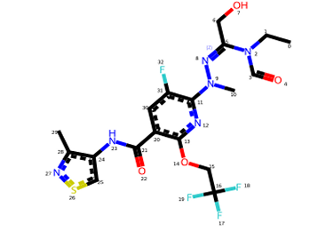 CCN(C=O)/C(CO)=N\N(C)c1nc(OCC(F)(F)F)c(C(=O)Nc2csnc2C)cc1F